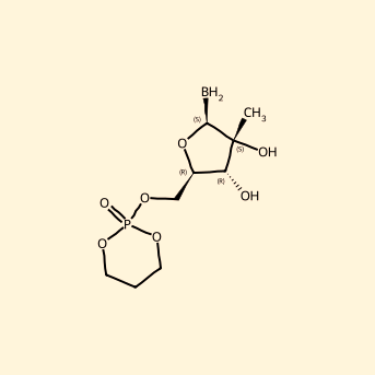 B[C@@H]1O[C@H](COP2(=O)OCCCO2)[C@@H](O)[C@@]1(C)O